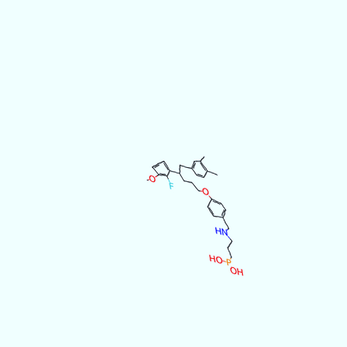 COc1cccc(C(CCCOc2ccc(CNCCCP(O)O)cc2)Cc2ccc(C)c(C)c2)c1F